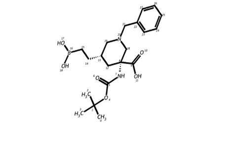 CC(C)(C)OC(=O)N[C@]1(C(=O)O)C[C@H](CCB(O)O)CN(Cc2ccccc2)C1